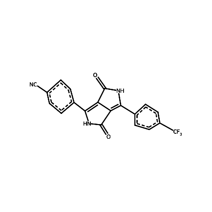 N#Cc1ccc(C2=C3C(=O)NC(c4ccc(C(F)(F)F)cc4)=C3C(=O)N2)cc1